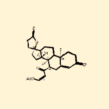 CC(=O)O/C=C\C(=O)[C@@H]1CC2=CC(=O)CC[C@]2(C)C2CC[C@@]3(C)[C@@H](CC[C@@]34CCC(=O)O4)[C@@H]21